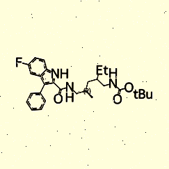 CCC(CNC(=O)OC(C)(C)C)C[C@@H](C)CNC(=O)c1[nH]c2ccc(F)cc2c1-c1ccccc1